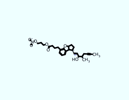 CC#CCC(C)C(O)/C=C/[C@@H]1CCC2Oc3c(CCCC(=O)OCCCO[N+](=O)[O-])cccc3C21